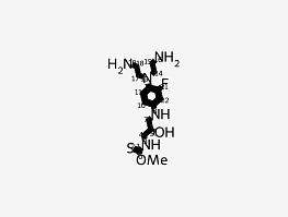 COC(=S)NC[C@H](O)CNc1ccc(N(CCN)CCN)c(F)c1